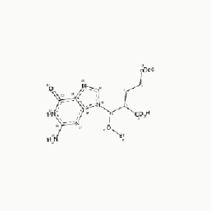 CCCCCCCCCCCCC(C(=O)O)C(OCC)n1cnc2c(=O)[nH]c(N)nc21